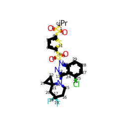 CC(C)S(=O)(=O)c1ccc(S(=O)(=O)n2nc(N3CCC(F)(F)CC34CC4)c3c(Cl)cccc32)s1